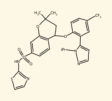 CC(C)n1nccc1-c1cc(C(F)(F)F)ccc1OC1CC(C)(C)Oc2cc(S(=O)(=O)Nc3nccs3)ccc21